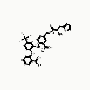 N[C@@H](Cc1cccs1)C(=O)NCc1ccc(Nc2cc(C(F)(F)F)ccc2Nc2ccccc2C(=O)O)c(C(=O)O)c1